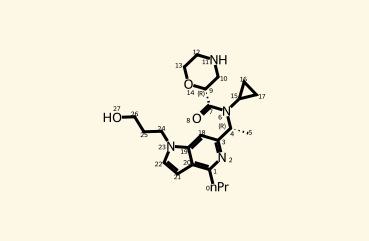 CCCc1nc([C@@H](C)N(C(=O)[C@H]2CNCCO2)C2CC2)cc2c1ccn2CCCO